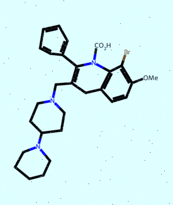 COc1ccc2c(c1Br)N(C(=O)O)C(c1ccccc1)=C(CN1CCC(N3CCCCC3)CC1)C2